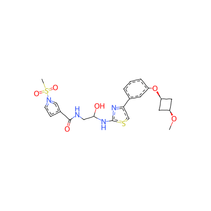 CO[C@H]1C[C@@H](Oc2cccc(-c3csc(NC(O)CNC(=O)c4ccn(S(C)(=O)=O)c4)n3)c2)C1